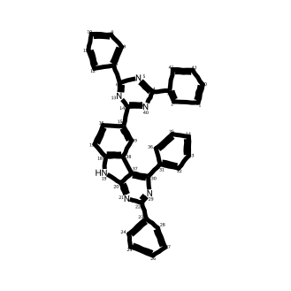 c1ccc(-c2nc(-c3ccccc3)nc(-c3ccc4[nH]c5nc(-c6ccccc6)nc(-c6ccccc6)c5c4c3)n2)cc1